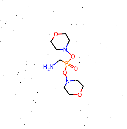 NCP(=O)(ON1CCOCC1)ON1CCOCC1